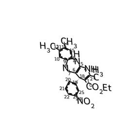 CCOC(=O)C1=C(C)NC2=C(C=Nc3cc(C)c(C)cc3N2)[C@H]1c1cccc([N+](=O)[O-])c1